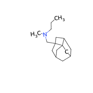 CCCN(C)CC12CC3CC4CC(C1)C2(C4)C3